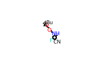 Cc1cc(C#N)c(F)cc1NCCOCCO[Si](C)(C)C(C)(C)C